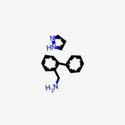 NCc1ccccc1-c1ccccc1.c1cn[nH]c1